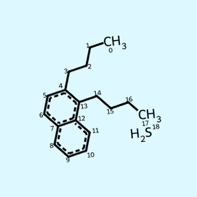 CCCCc1ccc2ccccc2c1CCCC.S